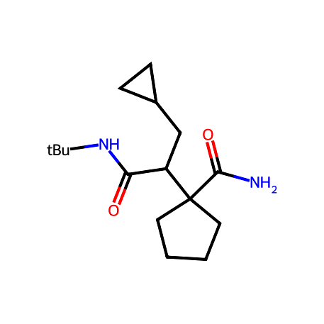 CC(C)(C)NC(=O)C(CC1CC1)C1(C(N)=O)CCCC1